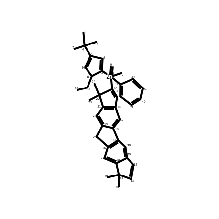 [CH2]=[Zr]([CH3])([C]1=CC(C(C)(C)C)=CC1CC)([C]1=Cc2cc3c(cc2C1(C)C)Cc1cc2c(cc1-3)C=CC2(C)C)[c]1ccccc1